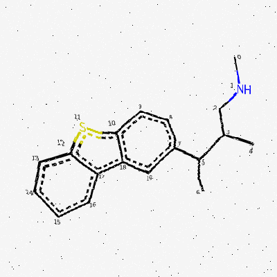 CNCC(C)C(C)c1ccc2sc3ccccc3c2c1